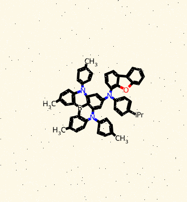 Cc1ccc(N2c3ccc(C)cc3B3c4cc(C)ccc4N(c4ccc(C)cc4)c4cc(N(c5ccc(C(C)C)cc5)c5cccc6c5oc5ccccc56)cc2c43)cc1